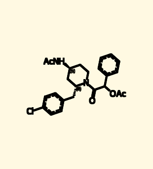 CC(=O)N[C@H]1CCN(C(=O)C(OC(C)=O)c2ccccc2)[C@H](Cc2ccc(Cl)cc2)C1